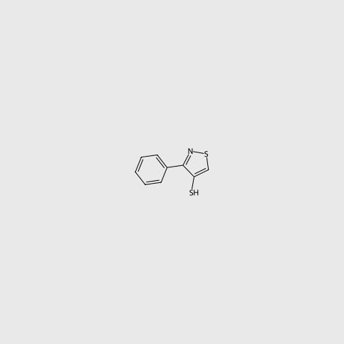 Sc1csnc1-c1ccccc1